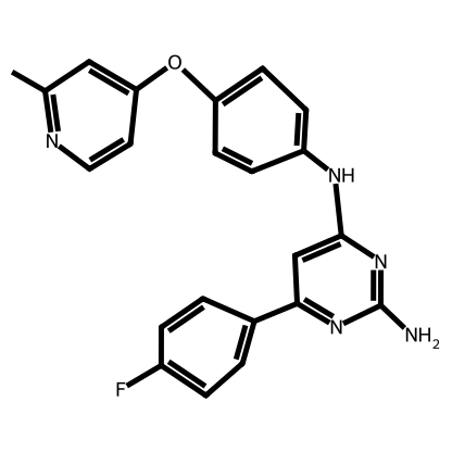 Cc1cc(Oc2ccc(Nc3cc(-c4ccc(F)cc4)nc(N)n3)cc2)ccn1